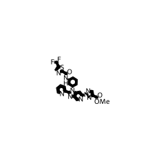 COC(=O)c1cnn(-c2cc3c(cn2)nc(-c2ccccn2)n3[C@@H]2CCC[C@H](NC(=O)c3ncc(C(F)F)s3)C2)n1